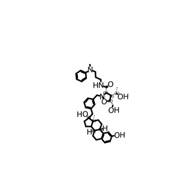 C[C@H](O)[C@@H]1[C@H](CO)ON(Cc2cccc(C[C@]3(O)CCC4[C@@H]5CCc6ccc(O)cc6[C@H]5CC[C@@]43C)c2)[C@@H]1C(=O)NCCCN(C)c1ccccc1